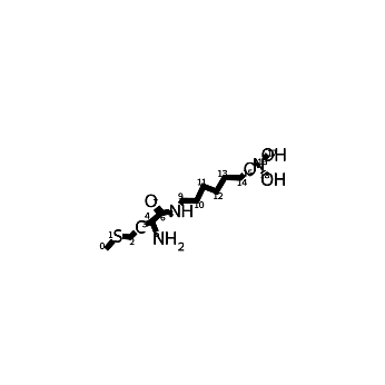 CSCCC(N)C(=O)NCCCCCCON(O)O